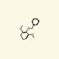 COC1=C[CH]CC(OC)=C1OCc1ccccc1